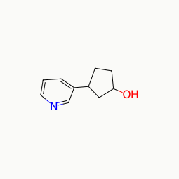 OC1CCC(c2cccnc2)C1